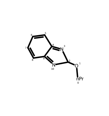 CCCO[C]1N=c2ccccc2=N1